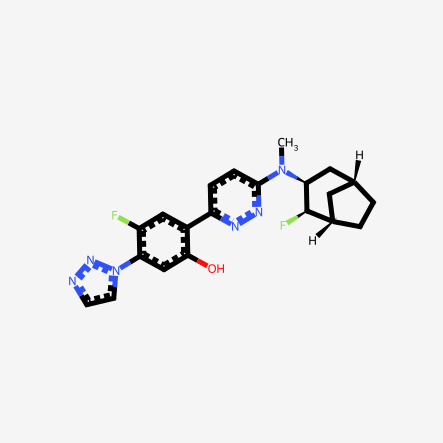 CN(c1ccc(-c2cc(F)c(-n3ccnn3)cc2O)nn1)[C@H]1C[C@@H]2CC[C@@H](C2)[C@H]1F